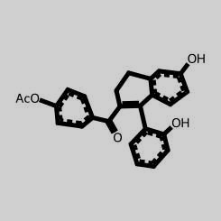 CC(=O)Oc1ccc(C(=O)C2=C(c3ccccc3O)c3ccc(O)cc3CC2)cc1